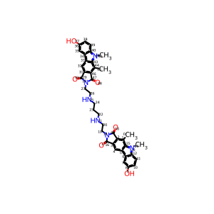 Cc1c2c(cc3c4cc(O)ccc4n(C)c13)C(=O)N(CCNCCCNCCN1C(=O)c3cc4c5cc(O)ccc5n(C)c4c(C)c3C1=O)C2=O